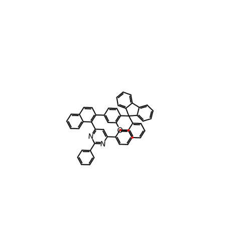 c1ccc(-c2cc(-c3c(-c4ccc5c(c4)Oc4ccccc4C54c5ccccc5-c5ccccc54)ccc4ccccc34)nc(-c3ccccc3)n2)cc1